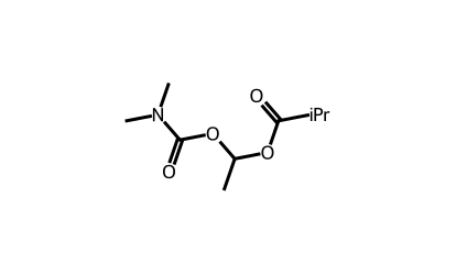 CC(OC(=O)C(C)C)OC(=O)N(C)C